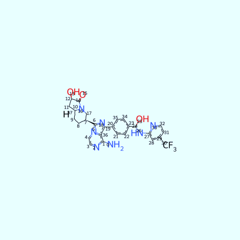 Nc1nccn2c([C@H]3CC[C@H]4C[C@@H](O)C(=O)N4C3)nc(-c3ccc(C(O)Nc4cc(C(F)(F)F)ccn4)cc3)c12